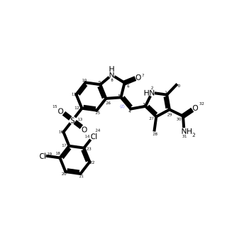 Cc1[nH]c(/C=C2\C(=O)Nc3ccc(S(=O)(=O)Cc4c(Cl)cccc4Cl)cc32)c(C)c1C(N)=O